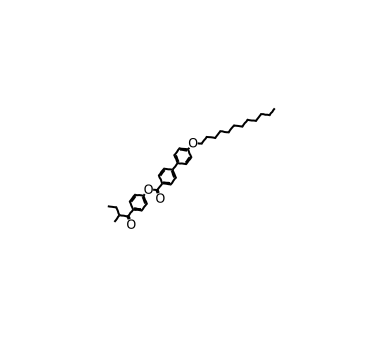 CCCCCCCCCCCCOc1ccc(-c2ccc(C(=O)Oc3ccc(C(=O)C(C)CC)cc3)cc2)cc1